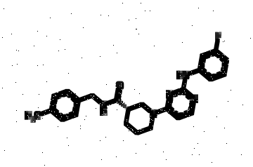 Cc1ccc(CNC(=O)[C@H]2CCCN(c3ccnc(Nc4cccc(F)c4)n3)C2)cc1